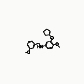 COc1cccc(CNc2ccc(OC)c(OC3CCCC3)c2)c1